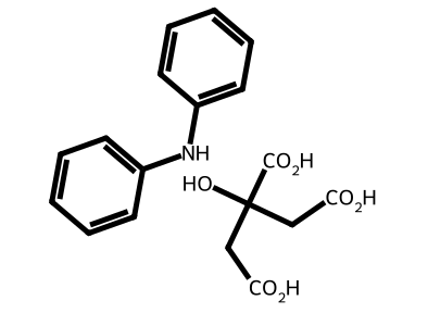 O=C(O)CC(O)(CC(=O)O)C(=O)O.c1ccc(Nc2ccccc2)cc1